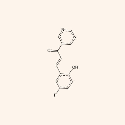 O=C(C=Cc1cc(F)ccc1O)c1cccnc1